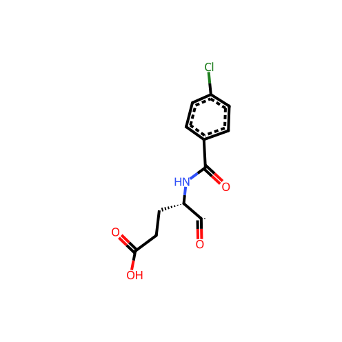 O=[C][C@H](CCC(=O)O)NC(=O)c1ccc(Cl)cc1